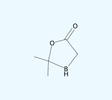 CC1(C)BCC(=O)O1